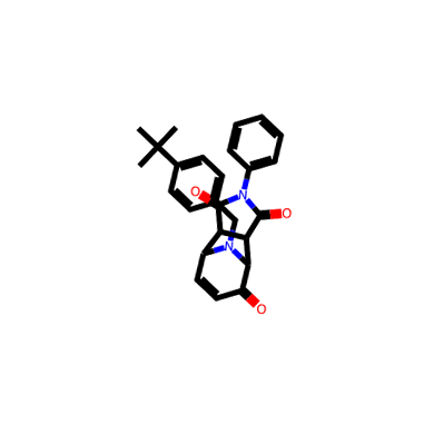 CC(C)(C)c1ccc(CN2C3C=CC(=O)C2C2C(=O)N(c4ccccc4)C(=O)C23)cc1